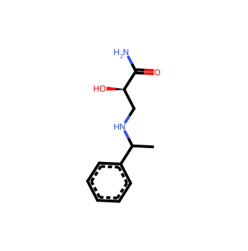 CC(NC[C@@H](O)C(N)=O)c1ccccc1